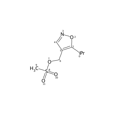 CC(C)c1oncc1COS(C)(=O)=O